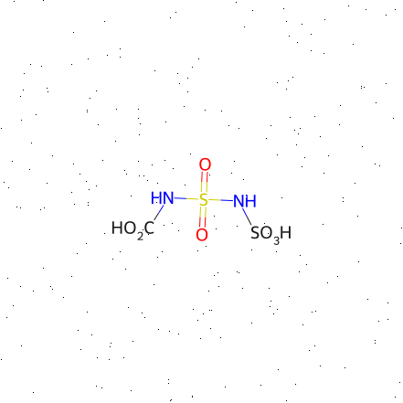 O=C(O)NS(=O)(=O)NS(=O)(=O)O